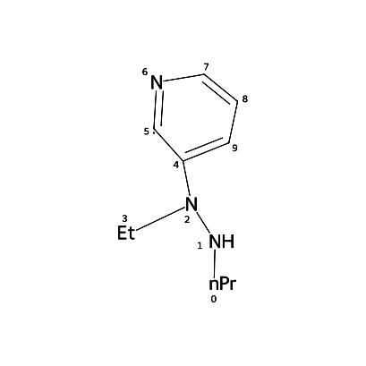 CCCNN(CC)c1[c]nccc1